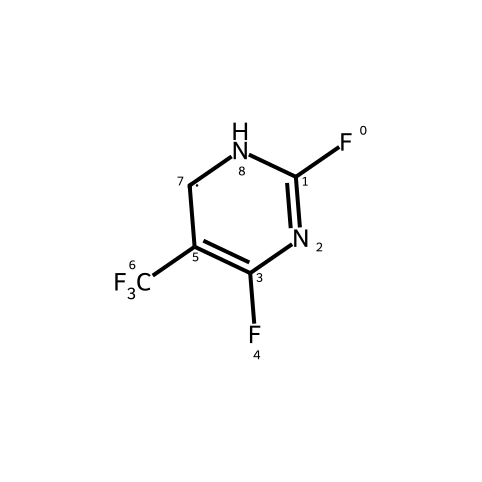 FC1=NC(F)=C(C(F)(F)F)[CH]N1